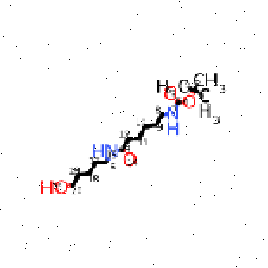 CC(C)(C)OC(=O)NCCCCCC(=O)NCCCCCO